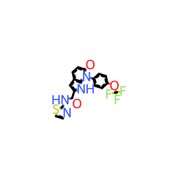 O=C(Nc1nccs1)c1cc2ccc(=O)n(-c3ccc(OC(F)(F)F)cc3)c2[nH]1